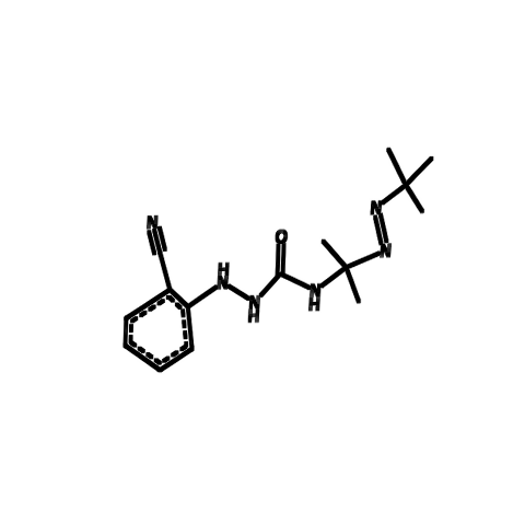 CC(C)(C)N=NC(C)(C)NC(=O)NNc1ccccc1C#N